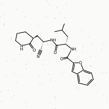 CC(C)C[C@H](NC(=O)c1cc2ccccc2o1)C(=O)N[C@H](C#N)C[C@@H]1CCCNC1=O